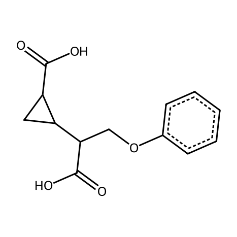 O=C(O)C(COc1ccccc1)C1CC1C(=O)O